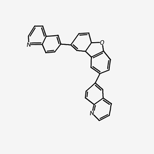 C1=CC2Oc3ccc(-c4ccc5ncccc5c4)cc3C2C=C1c1ccc2ncccc2c1